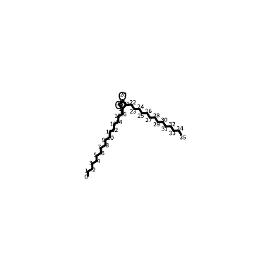 CCCCCCCCCCCCCCCC/C=C1\OC(=O)C1CCCCCCCCCCCCCC